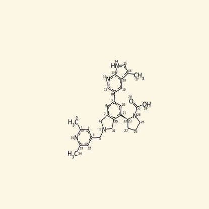 Cc1cc(CN2Cc3cc(-c4cnc5[nH]cc(C)c5c4)cc([C@@H]4CCCN4C(=O)O)c3C2)cc(C)n1